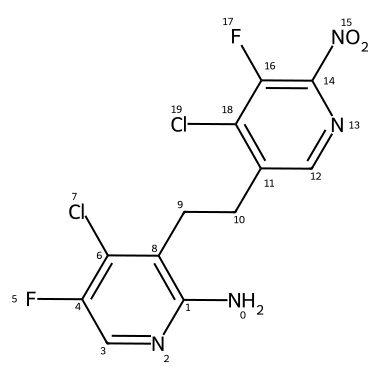 Nc1ncc(F)c(Cl)c1CCc1cnc([N+](=O)[O-])c(F)c1Cl